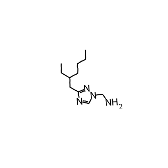 CCCCC(CC)Cc1ncn(CN)n1